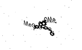 COc1ccc2c(C(=O)C3=CCC(OCCN4CCCCC4)C=C3)c(-c3ccc(F)c(OC)c3)ccc2c1